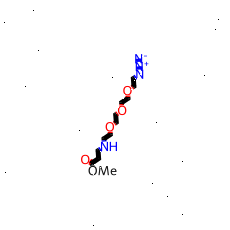 COC(=O)CCNCCOCCOCCOCCN=[N+]=[N-]